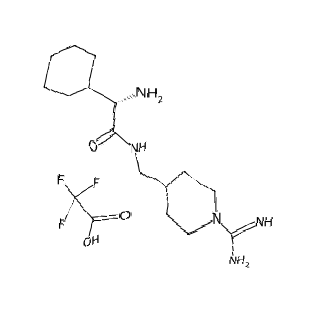 N=C(N)N1CCC(CNC(=O)[C@@H](N)C2CCCCC2)CC1.O=C(O)C(F)(F)F